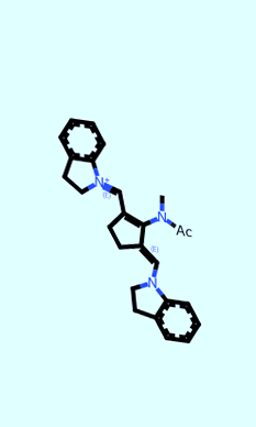 CC(=O)N(C)C1=C(/C=[N+]2\CCc3ccccc32)CC/C1=C\N1CCc2ccccc21